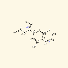 C=CS/C(=C\C)C1=CN(C)C(/C=C\C)C(C)=C1